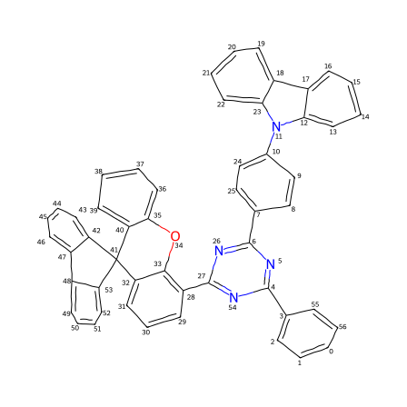 c1ccc(-c2nc(-c3ccc(-n4c5ccccc5c5ccccc54)cc3)nc(-c3cccc4c3Oc3ccccc3C43c4ccccc4-c4ccccc43)n2)cc1